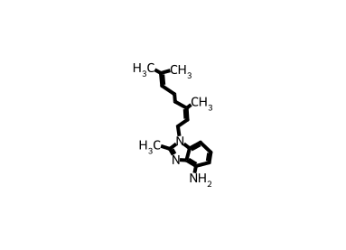 CC(C)=CCCC(C)=CCn1c(C)nc2c(N)cccc21